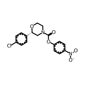 O=C(Oc1ccc([N+](=O)[O-])cc1)N1CCO[C@@H](c2ccc(Cl)cc2)C1